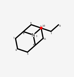 CCCN1C2CCCC1CCC2